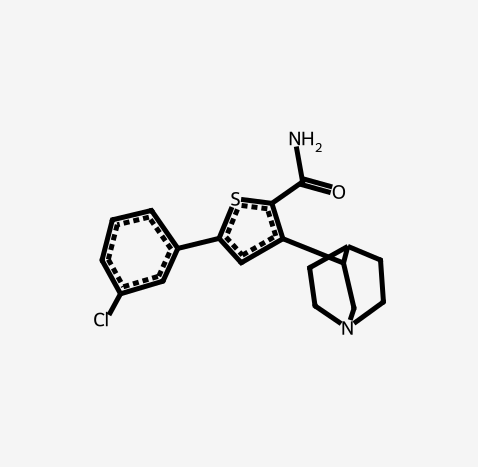 NC(=O)c1sc(-c2cccc(Cl)c2)cc1C1CN2CCC1CC2